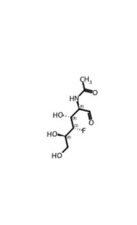 CC(=O)N[C@@H](C=O)[C@@H](O)[C@H](F)[C@H](O)CO